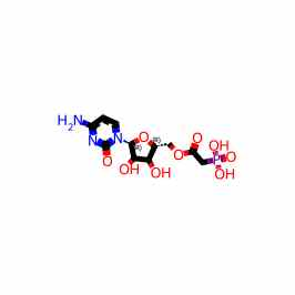 Nc1ccn([C@@H]2O[C@H](COC(=O)CP(=O)(O)O)C(O)C2O)c(=O)n1